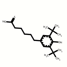 CC(C)(C)c1cc(CCCCCC(O)=S)cc(C(C)(C)C)c1O